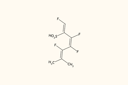 CC(C)=C(F)/C(F)=C(F)\C(=C\F)S(=O)(=O)O